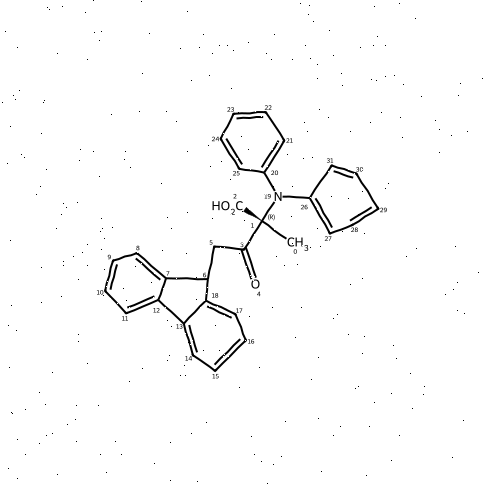 C[C@](C(=O)O)(C(=O)CC1c2ccccc2-c2ccccc21)N(c1ccccc1)c1ccccc1